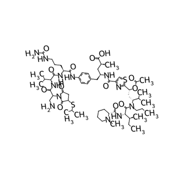 CCCN(C(=O)[C@@H](NC(=O)[C@H]1CCCCN1C)[C@@H](C)CC)[C@H](C[C@@H](OC(C)=O)c1nc(C(=O)N[C@@H](Cc2ccc(NC(=O)[C@H](CCCNC(N)=O)NC(=O)[C@@H](NC(=O)C(CN)N3C(=O)CC(SC(C)C)C3=O)C(C)C)cc2)C[C@H](C)C(=O)O)cs1)C(C)C